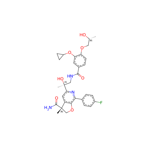 C[C@@H](O)COc1ccc(C(=O)NC[C@](C)(O)c2cc3c(c(-c4ccc(F)cc4)n2)OC[C@]3(C)C(N)=O)cc1OC1CC1